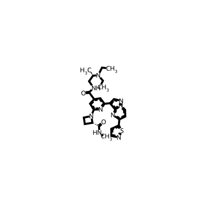 CCN(CC)[C@@H](C)CNC(=O)c1cc(-c2cnn3ccc(-c4ccns4)nc23)nc(N2CC[C@H]2C(=O)NC)c1